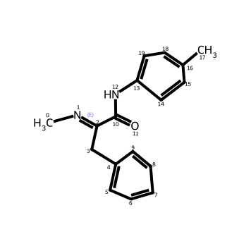 C/N=C(\Cc1ccccc1)C(=O)Nc1ccc(C)cc1